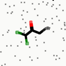 CCCCC(=O)C(Cl)Cl